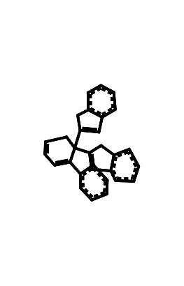 C1=CCC(C2=Cc3ccccc3C2)(C2=Cc3ccccc3C2)C(c2ccccc2)=C1